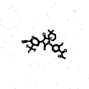 CNC(=O)c1ccc(N2C(=S)N(c3cnc(C#N)c(C(F)(F)F)c3)C(=O)[C@]23CCCC(C)(C)C3)cc1F